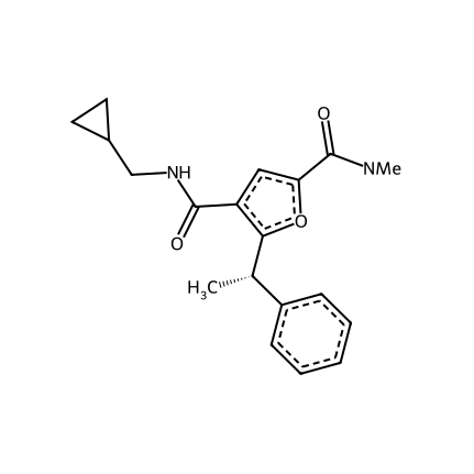 CNC(=O)c1cc(C(=O)NCC2CC2)c([C@@H](C)c2ccccc2)o1